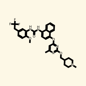 COc1ccc(CC(F)(F)F)cc1NC(=O)Nc1ccc(Oc2cc(C)nc(OCC3CCN(C)CC3)n2)c2ccccc12